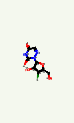 O=c1cnn([C@H]2O[C@@H](CO)C(F)C2O)c(=O)[nH]1